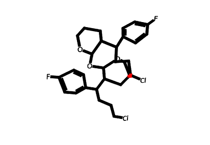 Fc1ccc(C(CCCCl)C2CCCOC2OC2OCCCC2C(CCCCl)c2ccc(F)cc2)cc1